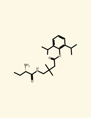 CC[C@H](N)C(=O)NCC(C)(C)CC(=O)Oc1c(C(C)C)cccc1C(C)C